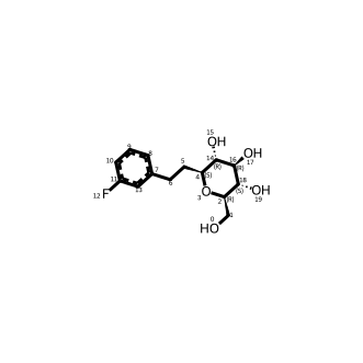 OC[C@H]1O[C@@H](CCc2cccc(F)c2)[C@H](O)[C@@H](O)[C@@H]1O